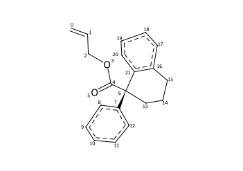 C=CCOC(=O)[C@@]1(c2ccccc2)CCCc2ccccc21